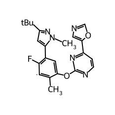 Cc1[c]c(F)c(-c2cc(C(C)(C)C)nn2C)cc1Oc1nccc(-c2cnco2)n1